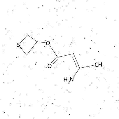 CC(N)=CC(=O)OC1CSC1